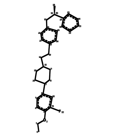 CCOc1ccc(C2CCC(CCc3ccc(C[C@@H](C)c4ccccc4)cc3)CC2)cc1F